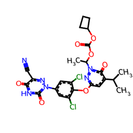 CC(C)c1cc(Oc2c(Cl)cc(-n3nc(C#N)c(=O)[nH]c3=O)cc2Cl)nn(C(C)OC(=O)OC2CCC2)c1=O